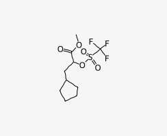 COC(=O)C(CC1CCCC1)OS(=O)(=O)C(F)(F)F